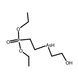 CCOP(=O)(CC[AsH]CCO)OCC